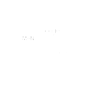 CCOC(=O)C(CCc1ccccc1)CNC